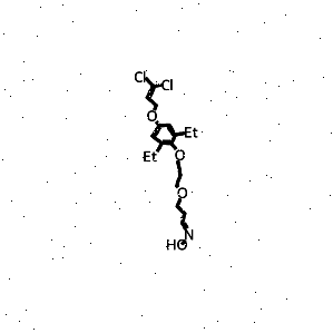 CCc1cc(OCC=C(Cl)Cl)cc(CC)c1OCCCOCCC=NO